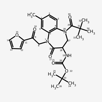 Cc1ccc2c(c1)N(CC(=O)c1ccco1)C(=O)C(NC(=O)OC(C)(C)C)CN2C(=O)C(C)(C)C